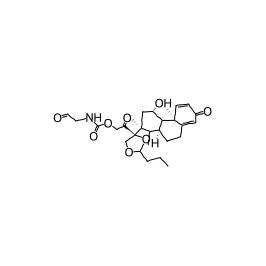 CCCC1OC[C@](C(=O)COC(=O)NCC=O)([C@@]2(C)C[C@H](O)C3[C@@H](CCC4=CC(=O)C=C[C@@]43C)C2C)O1